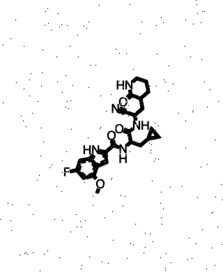 COc1cc(F)cc2[nH]c(C(=O)NC(CC3CC3)C(=O)NC(C#N)CC3CCCNC3=O)cc12